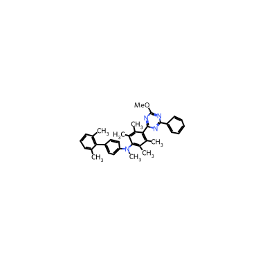 COc1nc(-c2ccccc2)nc(-c2c(C)c(C)c(N(C)c3ccc(-c4c(C)cccc4C)cc3)c(C)c2C)n1